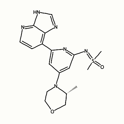 C[C@@H]1COCCN1c1cc(N=S(C)(C)=O)nc(-c2ccnc3[nH]cnc23)c1